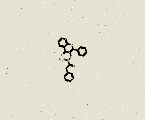 NN(Oc1c(-c2ccccc2)oc2ccccc2c1=O)C(=O)Cc1ccccc1